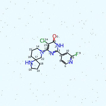 O=c1[nH]c(-c2ccnc(F)c2)nc(N2CCCC3(CCCN3)C2)c1Cl